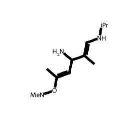 CNO/C(C)=C/C(N)/C(C)=C/NC(C)C